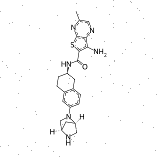 Cc1cnc2c(N)c(C(=O)N[C@@H]3CCc4cc(N5C[C@H]6C[C@@H]5CN6)ccc4C3)sc2n1